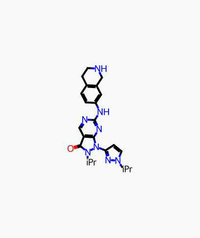 CC(C)n1ccc(-n2c3nc(Nc4ccc5c(c4)CNCC5)ncc3c(=O)n2C(C)C)n1